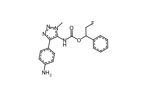 Cn1nnc(-c2ccc(N)cc2)c1NC(=O)OC(CF)c1ccccc1